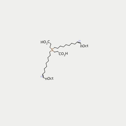 CCCCCCCC/C=C\CCCCCCCCS(CCCCCCCC/C=C\CCCCCCCC)(CCC(=O)O)CCC(=O)O